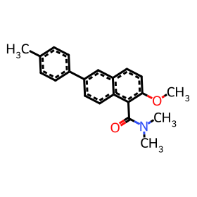 COc1ccc2cc(-c3ccc(C)cc3)ccc2c1C(=O)N(C)C